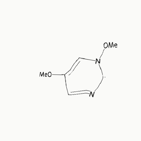 COC1=CN(OC)[CH]N=C1